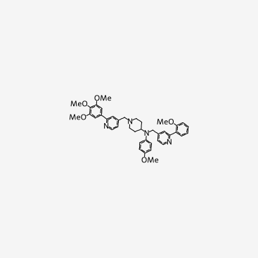 COc1ccc(N(Cc2ccnc(-c3ccccc3OC)c2)C2CCN(Cc3ccnc(-c4cc(OC)c(OC)c(OC)c4)c3)CC2)cc1